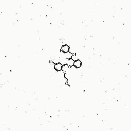 COCCOc1ccc(Cl)cc1COc1ccccc1C(=O)Nc1cccnc1